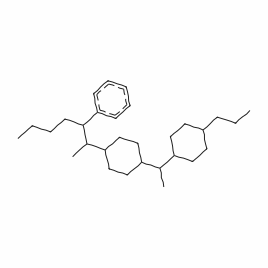 CCCCC(c1ccccc1)C(C)C1CCC(C(C)C2CCC(CCC)CC2)CC1